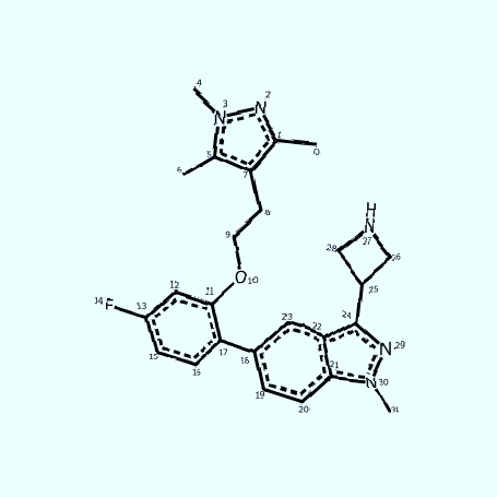 Cc1nn(C)c(C)c1CCOc1cc(F)ccc1-c1ccc2c(c1)c(C1CNC1)nn2C